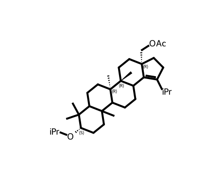 CC(=O)OC[C@]12CCC(C(C)C)=C1C1CCC3C4(C)CC[C@H](OC(C)C)C(C)(C)C4CC[C@@]3(C)[C@]1(C)CC2